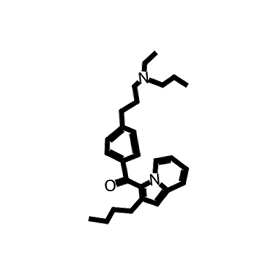 CCCCc1cc2ccccn2c1C(=O)c1ccc(CCCN(CC)CCC)cc1